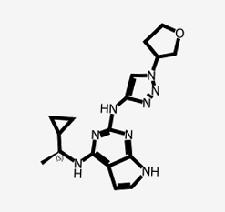 C[C@H](Nc1nc(Nc2cn(C3CCOC3)nn2)nc2[nH]ccc12)C1CC1